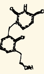 O=c1ccn(Cc2cccn(CCO)c2=O)c(=O)[nH]1